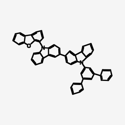 c1ccc(-c2cc(-c3ccccc3)cc(-n3c4ccccc4c4cc(-c5ccc6c(c5)c5ccccc5n6-c5cccc6c5oc5ccccc56)ccc43)c2)cc1